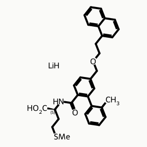 CSCC[C@H](NC(=O)c1ccc(COCCc2cccc3ccccc23)cc1-c1ccccc1C)C(=O)O.[LiH]